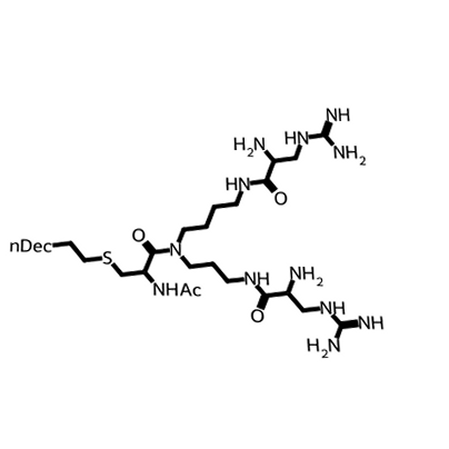 CCCCCCCCCCCCSCC(NC(C)=O)C(=O)N(CCCCNC(=O)C(N)CNC(=N)N)CCCNC(=O)C(N)CNC(=N)N